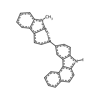 Cn1c2ccccc2c2ccc(-c3ccc4c(c3)c3c5ccccc5ccc3n4I)cc21